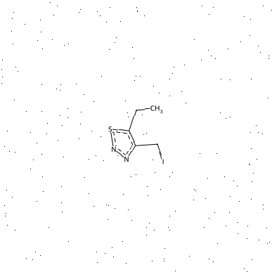 CCc1snnc1CI